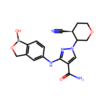 N#C[C@H]1CCOCC1n1cc(C(N)=O)c(Nc2ccc3c(c2)COB3O)n1